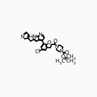 CC(C)(C)OC(=O)N1CCN(C(=O)C2Cc3cc(Cl)cc(-c4ccnc5[nH]c(Cc6cccnc6)cc45)c3O2)CC1